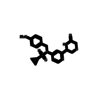 COc1ccc(CN(c2ccnc(C3COCC(=O)N3)c2)S(=O)(=O)C2CC2)cc1